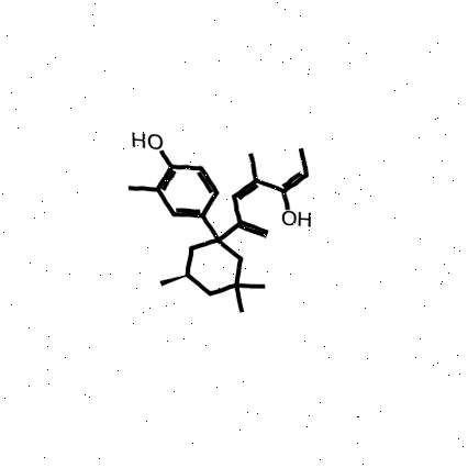 C=C(/C=C(C)\C(O)=C/C)C1(c2ccc(O)c(C)c2)C[C@H](C)CC(C)(C)C1